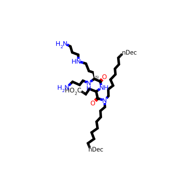 CCCCCCCCCCCCCCCCCCN(CCCCCCCCCCCCCCCCCC)C(=O)C(CCC(=O)O)NC(=O)[C@H](CCCNCCCN)NCCCN